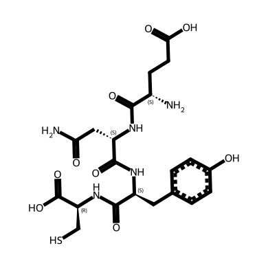 NC(=O)C[C@H](NC(=O)[C@@H](N)CCC(=O)O)C(=O)N[C@@H](Cc1ccc(O)cc1)C(=O)N[C@@H](CS)C(=O)O